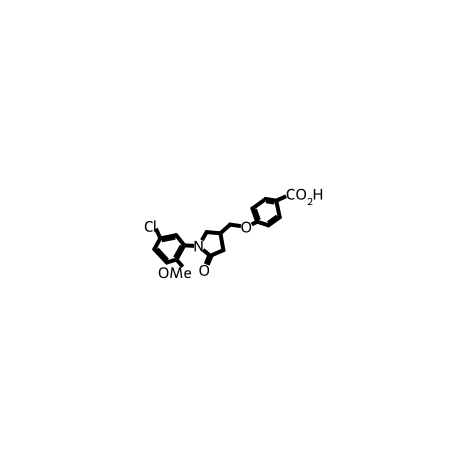 COc1ccc(Cl)cc1N1CC(COc2ccc(C(=O)O)cc2)CC1=O